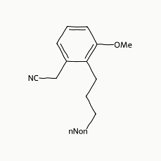 CCCCCCCCCCCCc1c(CC#N)cccc1OC